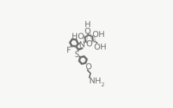 NCCCOc1ccc(Sc2cn([C@@H]3O[C@H](CO)[C@@H](O)[C@H](O)[C@H]3O)c3cccc(F)c23)cc1